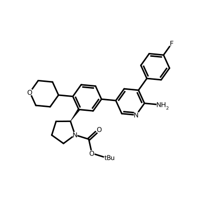 CC(C)(C)OC(=O)N1CCC[C@H]1c1cc(-c2cnc(N)c(-c3ccc(F)cc3)c2)ccc1C1CCOCC1